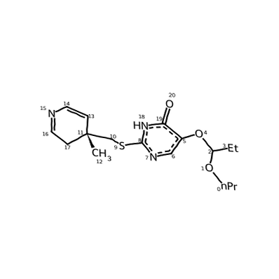 CCCOC(CC)Oc1cnc(SC[C@@]2(C)C=CN=CC2)[nH]c1=O